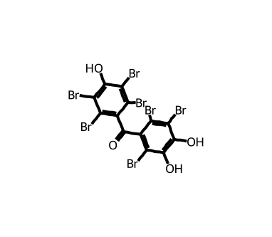 O=C(c1c(Br)c(O)c(O)c(Br)c1Br)c1c(Br)c(Br)c(O)c(Br)c1Br